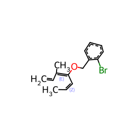 C=C/C(C)=C(\C=C/C)OCc1ccccc1Br